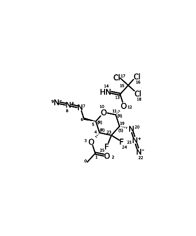 CC(=O)O[C@@H]1[C@@H](CN=[N+]=[N-])O[C@H](OC(=N)C(Cl)(Cl)Cl)[C@H](N=[N+]=[N-])C1(F)F